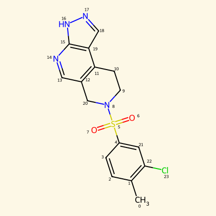 Cc1ccc(S(=O)(=O)N2CCc3c(cnc4[nH]ncc34)C2)cc1Cl